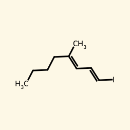 CCCCC(C)=CC=CI